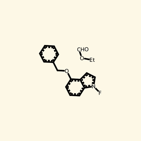 CCOC=O.Fn1ccc2c(OCc3ccccc3)cccc21